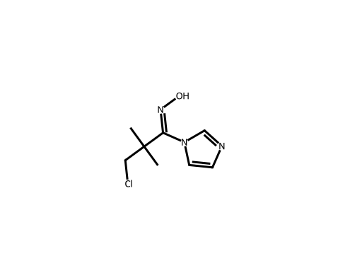 CC(C)(CCl)/C(=N/O)n1ccnc1